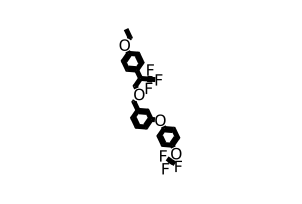 CCOc1ccc(C(COCc2cccc(Oc3ccc(OC(F)(F)F)cc3)c2)C(F)(F)F)cc1